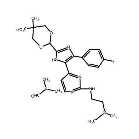 CN(C)C=O.CN(C)CCNc1nccc(-c2[nH]c(C3OCC(C)(C(=O)O)CO3)nc2-c2ccc(F)cc2)n1